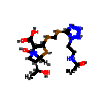 CC(=O)NCCn1nnnc1SCSC1=C(C(=O)O)[N+]2([O-])C[C@@H](C(C)O)[C@H]2S1